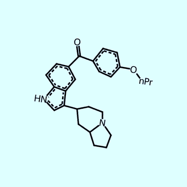 CCCOc1ccc(C(=O)c2ccc3[nH]cc(C4CCN5CCCC5C4)c3c2)cc1